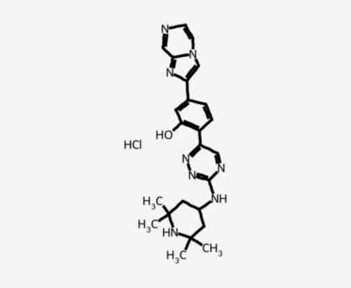 CC1(C)CC(Nc2ncc(-c3ccc(-c4cn5ccncc5n4)cc3O)nn2)CC(C)(C)N1.Cl